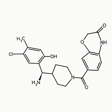 Cc1cc(O)c([C@H](N)C2CCN(C(=O)c3ccc4c(c3)OCC(=O)N4)CC2)cc1Cl